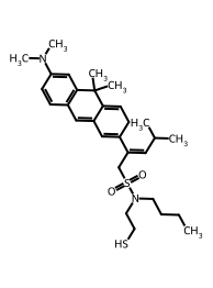 CCCCN(CCS)S(=O)(=O)C/C(=C/C(C)C)C1=CC2=Cc3ccc(N(C)C)cc3C(C)(C)C2=CC1